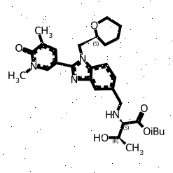 Cc1cc(-c2nc3cc(CN[C@H](C(=O)OCC(C)C)[C@@H](C)O)ccc3n2C[C@@H]2CCCCO2)cn(C)c1=O